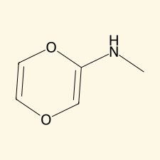 CNC1=COC=CO1